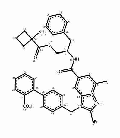 CCCc1nc2c(C)cc(C(=O)N[C@@H](CSC(=O)C3(N)CCC3)Cc3ccccc3)cc2n1Cc1ccc(-c2ccccc2C(=O)O)cc1